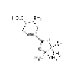 CC1CC(B2OC(C)(C)C(C)(C)O2)=CCC1C(=O)O